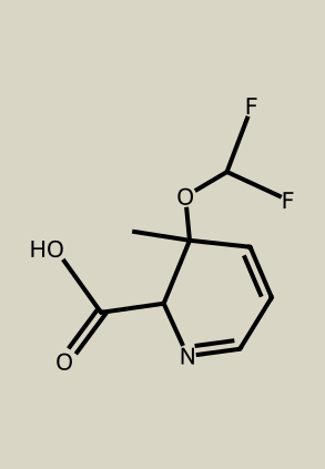 CC1(OC(F)F)C=CC=NC1C(=O)O